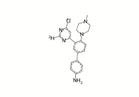 [2H]c1nc(Cl)cc(-c2cc(-c3ccc(N)cc3)ccc2N2CCN(C)CC2)n1